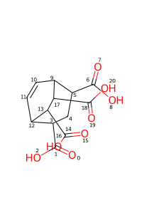 O=C(O)C1CC(C(=O)O)C2C=CC1C(C(=O)O)C2C(=O)O